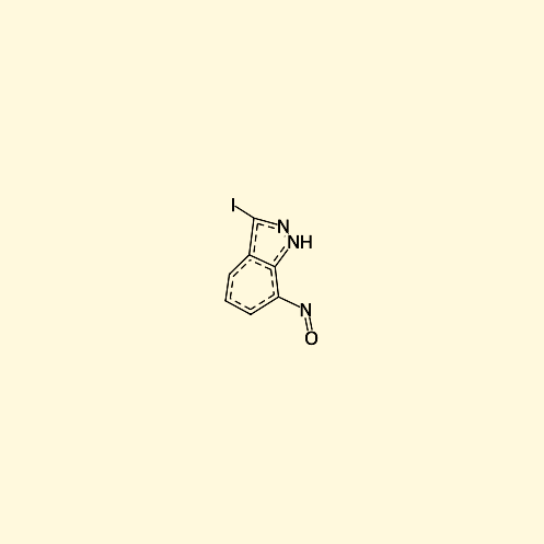 O=Nc1cccc2c(I)n[nH]c12